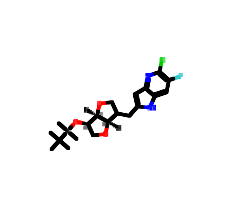 CC(C)(C)[Si](C)(C)O[C@@H]1CO[C@@H]2C(Cc3cc4nc(Cl)c(F)cc4[nH]3)CO[C@@H]21